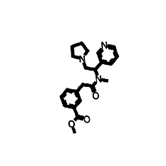 COC(=O)c1cccc(CC(=O)N(C)C(CN2CCCC2)c2cccnc2)c1